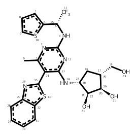 Cc1nc(N[C@H](c2cccs2)C(F)(F)F)nc(N[C@@H]2C[C@H](CO)[C@@H](O)[C@H]2O)c1-c1nc2ccccc2s1